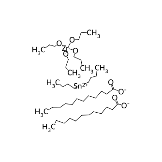 CCCCCCCCCCCC(=O)[O-].CCCCCCCCCCCC(=O)[O-].CCC[CH2][Sn+2][CH2]CCC.CCC[O][Zr]([O]CCC)([O]CCC)[O]CCC